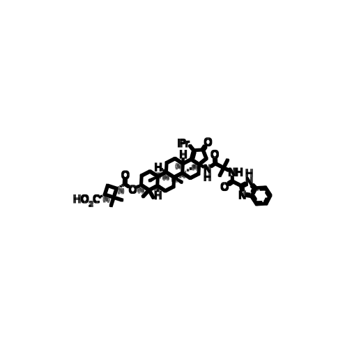 CC(C)C1=C2[C@H]3CC[C@@H]4[C@@]5(C)CC[C@H](OC(=O)[C@H]6C[C@@H](C(=O)O)C6(C)C)C(C)(C)[C@@H]5CC[C@@]4(C)[C@]3(C)CC[C@@]2(NC(=O)C(C)(C)NC(=O)c2nc3ccccc3[nH]2)CC1=O